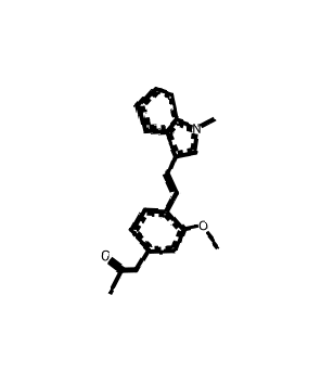 COc1cc(CC(C)=O)ccc1/C=C/c1cn(C)c2ccccc12